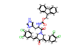 O=C(NC(Cc1c[nH]cn1)C(=O)N1C/C(=C\c2ccc(Cl)c(Cl)c2)C(=O)/C(=C/c2ccc(Cl)c(Cl)c2)C1)OCC1c2ccccc2-c2ccccc21